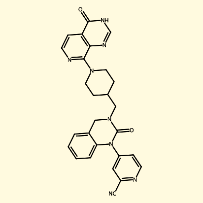 N#Cc1cc(N2C(=O)N(CC3CCN(c4nccc5c(=O)[nH]cnc45)CC3)Cc3ccccc32)ccn1